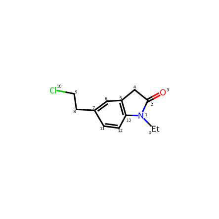 CCN1C(=O)Cc2cc(CCCl)ccc21